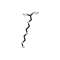 [CH2]C(COCCOCCOCC)C(=O)O